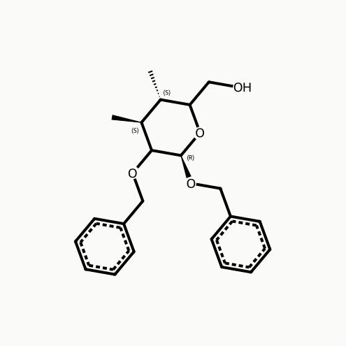 C[C@@H]1C(CO)O[C@@H](OCc2ccccc2)C(OCc2ccccc2)[C@H]1C